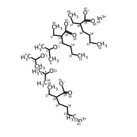 CC(C)[O-].CC(C)[O-].CC(C)[O-].CCCCC(CC)C(=O)[O-].CCCCC(CC)C(=O)[O-].CCCCC(CC)C(=O)[O-].[In+3].[In+3]